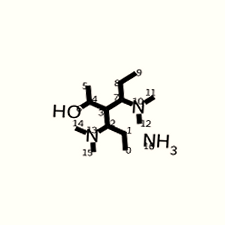 CCC(C(C(C)O)C(CC)N(C)C)N(C)C.N